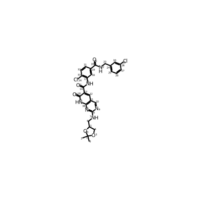 CC1(C)OCC(CNc2ncc3cc(C(=O)Nc4cc(C(=O)NCc5cccc(Cl)c5)ccc4Cl)c(=O)[nH]c3n2)O1